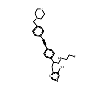 Oc1cncnc1CC(CNCCF)c1ccc(C#Cc2ccc(CN3CCOCC3)cc2)cc1